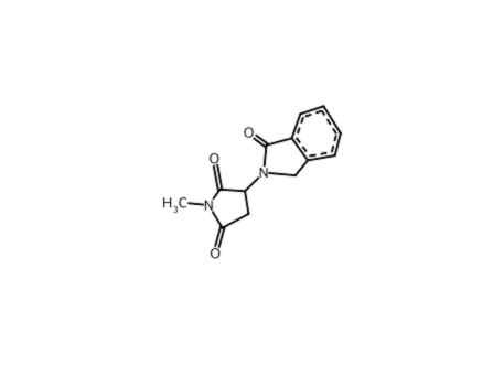 CN1C(=O)CC(N2Cc3ccccc3C2=O)C1=O